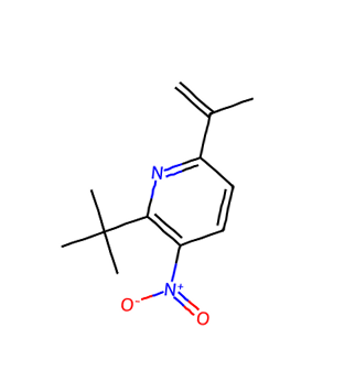 C=C(C)c1ccc([N+](=O)[O-])c(C(C)(C)C)n1